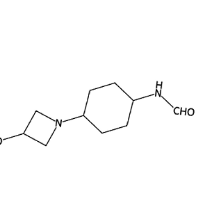 O=CNC1CCC(N2CC(O)C2)CC1